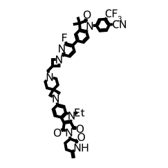 C=C1CCC(N2C(=O)c3c(n(CC)c4cc(N5CC6(CCN(CC7CN(c8ccc(-c9ccc%10c(c9)C(C)(C)C(=O)N%10c9ccc(C#N)c(C(F)(F)F)c9)c(F)n8)C7)CC6)C5)ccc34)C2=O)C(=O)N1